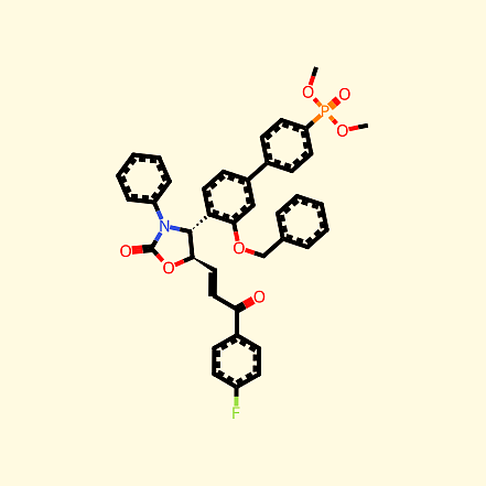 COP(=O)(OC)c1ccc(-c2ccc([C@@H]3[C@@H](/C=C/C(=O)c4ccc(F)cc4)OC(=O)N3c3ccccc3)c(OCc3ccccc3)c2)cc1